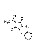 CCN1C(=O)/C(=C(/C)O)C(=O)C1Cc1ccccc1